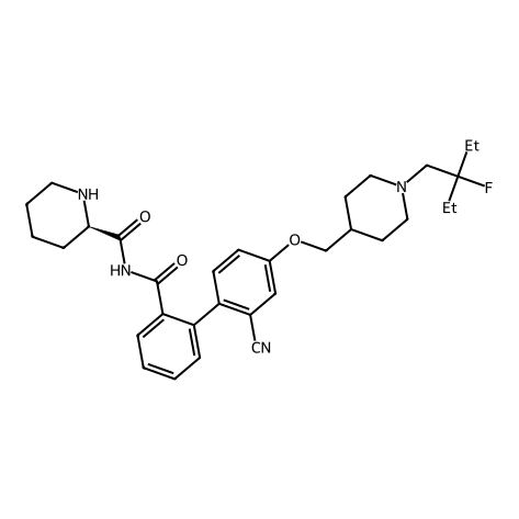 CCC(F)(CC)CN1CCC(COc2ccc(-c3ccccc3C(=O)NC(=O)[C@H]3CCCCN3)c(C#N)c2)CC1